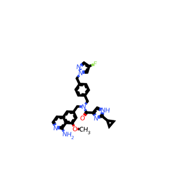 COc1cc(CN(Cc2ccc(Cn3cc(F)cn3)cc2)C(=O)c2c[nH]c(C3CC3)n2)cc2ccnc(N)c12